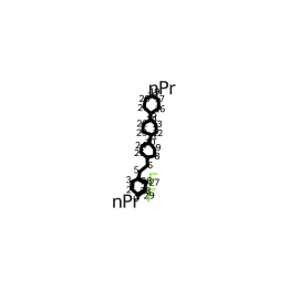 CCCc1ccc(CCC2CCC(C3CCC(C4CCC(CCC)CC4)CC3)CC2)c(F)c1F